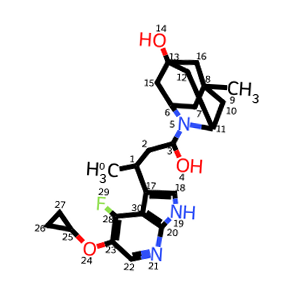 CC(CC(O)N1C2CC3(C)CC1CC(O)(C2)C3)c1c[nH]c2ncc(OC3CC3)c(F)c12